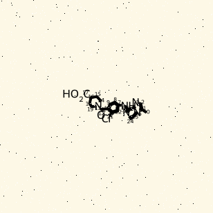 Cc1cnc2c(Nc3ccc(C(=O)N4CCC(C(=O)O)CC4)c(Cl)c3)nccn12